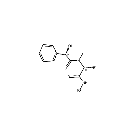 CC(C)[C@H](C(=O)NO)N(C)C(=O)[C@H](O)c1ccccc1